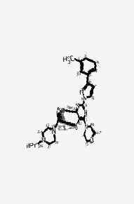 Cc1cccc(-c2ccn(-c3nc(N4CCOCC4)c4sc(N5CCN(C(C)C)CC5)nc4n3)n2)c1